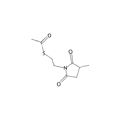 CC(=O)SCCN1C(=O)CC(C)C1=O